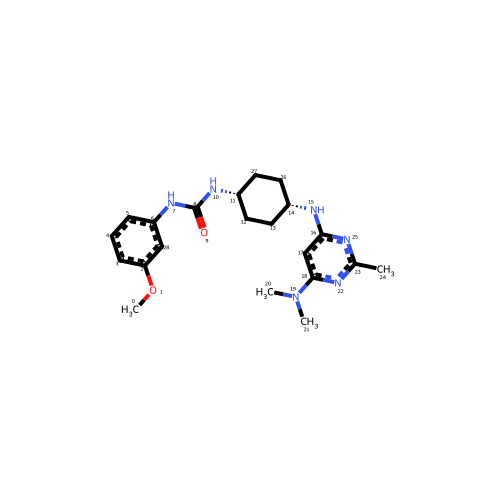 COc1cccc(NC(=O)N[C@H]2CC[C@@H](Nc3cc(N(C)C)nc(C)n3)CC2)c1